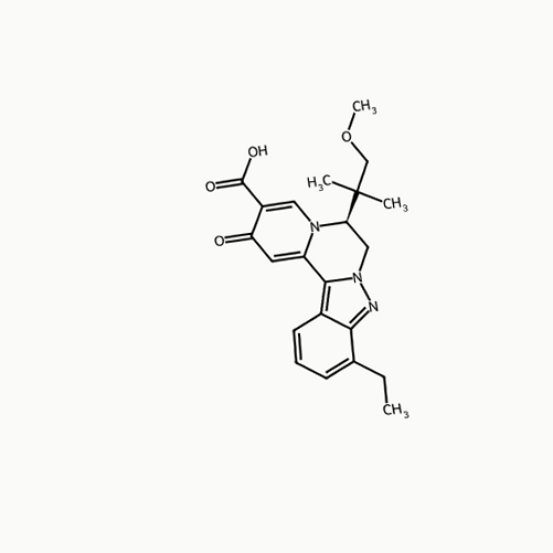 CCc1cccc2c3n(nc12)C[C@H](C(C)(C)COC)n1cc(C(=O)O)c(=O)cc1-3